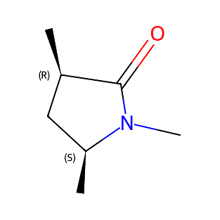 C[C@@H]1C[C@H](C)N(C)C1=O